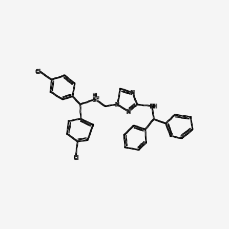 Clc1ccc(C([SiH2]Cn2cnc(BC(c3ccccc3)c3ccccc3)n2)c2ccc(Cl)cc2)cc1